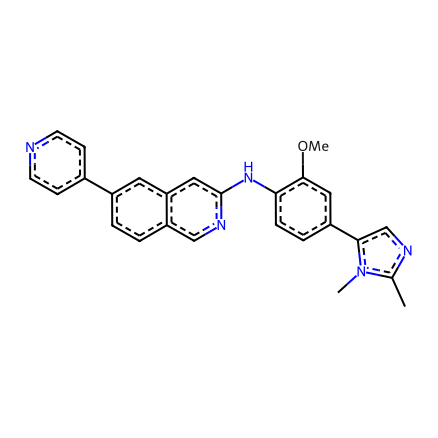 COc1cc(-c2cnc(C)n2C)ccc1Nc1cc2cc(-c3ccncc3)ccc2cn1